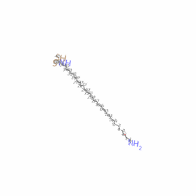 NCCCCCCCCCCCCCCCCCCCCCCCCCCCCCCCCCCCCNC(=S)S